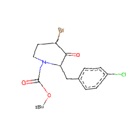 CC(C)(C)OC(=O)N1CCC(Br)C(=O)C1Cc1ccc(Cl)cc1